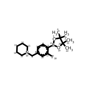 CC1(C)OB(c2ccc(CN3CCCCC3)cc2F)OC1(C)C